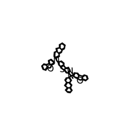 c1ccc2cc3cc(N(c4ccc5c(c4)oc4ccccc45)c4ccc5c(c4)sc4cc(N(c6ccc7cc8ccccc8cc7c6)c6ccc7c(c6)oc6ccccc67)ncc45)ccc3cc2c1